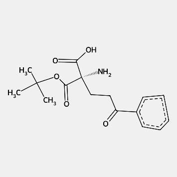 CC(C)(C)OC(=O)[C@](N)(CCC(=O)c1ccccc1)C(=O)O